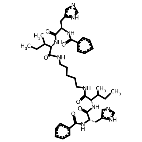 CCC(C)[C@H](NC(=O)[C@H](Cc1cnc[nH]1)NC(=O)c1ccccc1)C(=O)NCCCCCNC(=O)[C@H](NC(=O)[C@@H](Cc1cnc[nH]1)NC(=O)c1ccccc1)C(C)CC